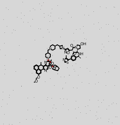 COCOc1cc2c3c(cccc3c1)C(C)c1c-2ncc2c(N3CC4CCC(C3)N4C(=O)OC(C)(C)C)nc(N3CCC(CN4CCC(CC5CN(c6cc([C@H](C(=O)N7C[C@H](O)C[C@H]7C(=O)N[C@@H](C)c7ccc(-c8scnc8C)cc7)C(C)C)on6)C5)CC4)CC3)nc12